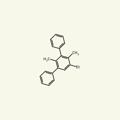 CCc1[c]c(-c2ccccc2)c(C)c(-c2ccccc2)c1C